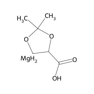 CC1(C)OCC(C(=O)O)O1.[MgH2]